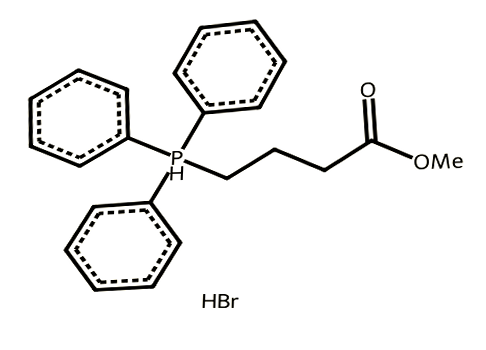 Br.COC(=O)CCC[PH](c1ccccc1)(c1ccccc1)c1ccccc1